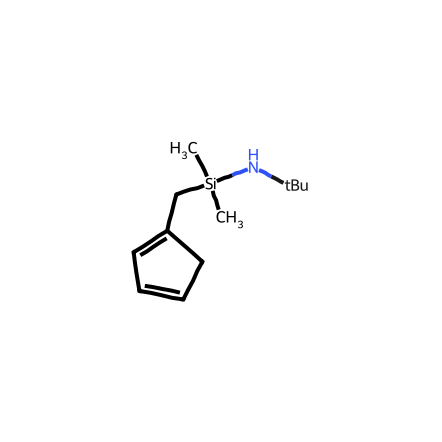 CC(C)(C)N[Si](C)(C)CC1=CC=CC1